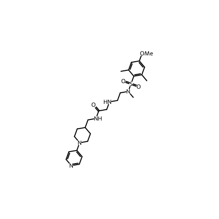 COc1cc(C)c(S(=O)(=O)N(C)CCNCC(=O)NCC2CCN(c3ccncc3)CC2)c(C)c1